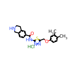 Cc1ccc(OCc2nnc(NC(=O)c3ccc4c(c3)CCNC4)s2)cc1C.Cl